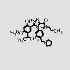 CCCNC(=O)c1nnc(-c2cc(C(C)C)c(OC)cc2O)n1-c1ccc(CN2CCCC2)cc1